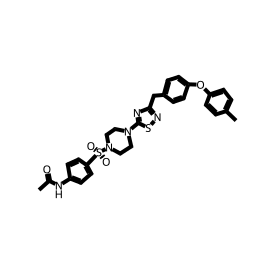 CC(=O)Nc1ccc(S(=O)(=O)N2CCN(c3nc(Cc4ccc(Oc5ccc(C)cc5)cc4)ns3)CC2)cc1